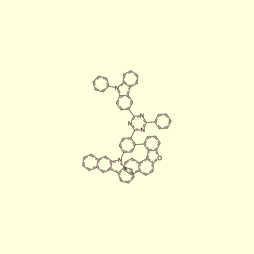 c1ccc(-c2nc(-c3ccc4c(c3)c3ccccc3n4-c3ccccc3)nc(-c3ccc(-n4c5ccccc5c5cc6ccccc6cc54)cc3-c3cccc4oc5ccc6ccccc6c5c34)n2)cc1